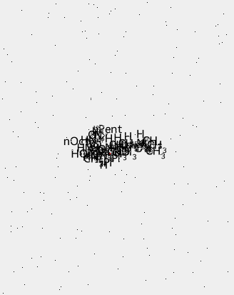 CCCCCCCC[C@H](NC(=O)[C@@H]1CCCN1C(=O)CCCCC)C(=O)N[C@H](C(=O)N[C@@H](CC(C)C)C(=O)N[C@@H](CC(C)C)C(=O)NC(C)(C)C(=O)NC(C)(C)C(=O)NCCC(=O)N[C@@H](C)CN(C)C)[C@@H](C)O